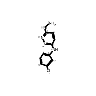 NNc1ccc(Nc2cccc(Cl)c2)nn1